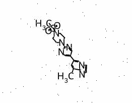 Cc1cc(-c2cnc(N3CCN(S(C)(=O)=O)CC3)nc2)cn2ccnc12